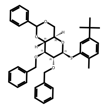 Cc1ccc(C(C)(C)C)cc1S[C@@H]1O[C@@H]2COC(c3ccccc3)O[C@H]2[C@H](OCc2ccccc2)[C@H]1OCc1ccccc1